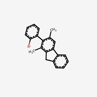 Cc1cc2c(c(C)c1-c1ccccc1Br)Cc1ccccc1-2